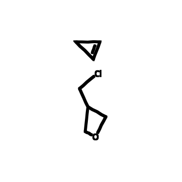 C1=CC1.ClCC1COC1